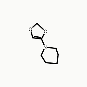 C1=C(N2CCCCC2)OCO1